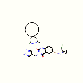 Cn1cc(Cn2c(=O)c3cc(S(=O)(=O)NC4(CF)CC4)ccc3n(CC3CC4(CC/C=C\CCCCCC4)CC(F)N3)c2=O)cn1